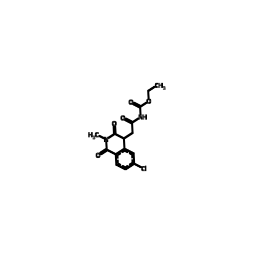 CCOC(=O)NC(=O)CC1C(=O)N(C)C(=O)c2ccc(Cl)cc21